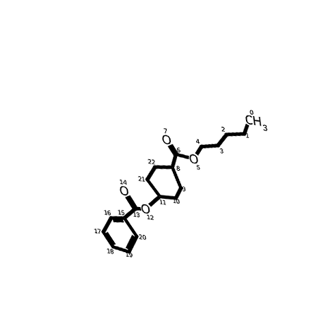 CCCCCOC(=O)C1CCC(OC(=O)c2ccccc2)CC1